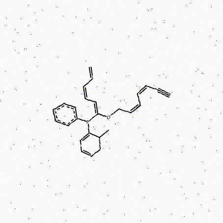 C#C/C=C\C=C/CO/C(=C/C=C\C=C)P(C1=CC=CCC1C)c1ccccc1